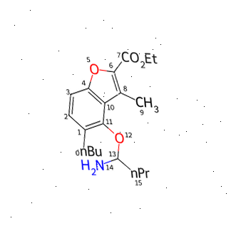 CCCCc1ccc2oc(C(=O)OCC)c(C)c2c1OC(N)CCC